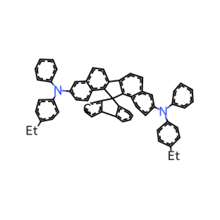 CCc1ccc(N(c2ccccc2)c2ccc3c4c(ccc3c2)-c2ccc3cc(N(c5ccccc5)c5ccc(CC)cc5)ccc3c2C42c3ccccc3-c3ccccc32)cc1